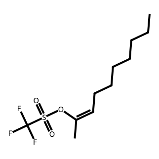 CCCCCCCC=C(C)OS(=O)(=O)C(F)(F)F